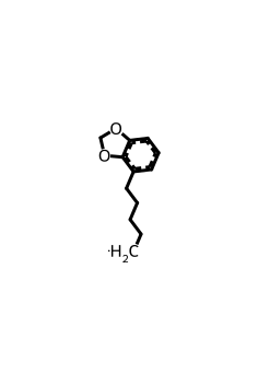 [CH2]CCCCc1cccc2c1OCO2